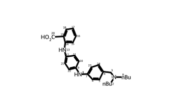 CCCCN(CCCC)Cc1ccc(Nc2ccc(Nc3ccccc3C(=O)O)cc2)cc1